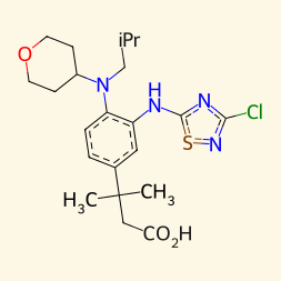 CC(C)CN(c1ccc(C(C)(C)CC(=O)O)cc1Nc1nc(Cl)ns1)C1CCOCC1